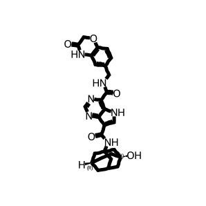 O=C1COc2ccc(CNC(=O)c3ncnc4c(C(=O)NC56CC7C[C@H](C5)C[C@](O)(C7)C6)c[nH]c34)cc2N1